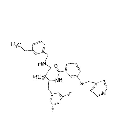 CCc1cccc(CNC[C@H](O)C(Cc2cc(F)cc(F)c2)NC(=O)c2cccc(SCc3ccncc3)c2)c1